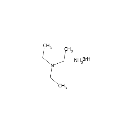 Br.CCN(CC)CC.N